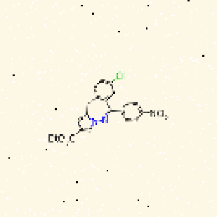 CCOC(=O)c1cc2n(c1)N=C(c1ccc([N+](=O)[O-])cc1)c1cc(Cl)ccc1C2